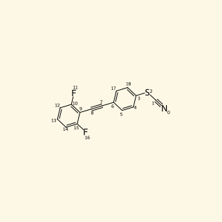 N#CSc1ccc(C#Cc2c(F)cccc2F)cc1